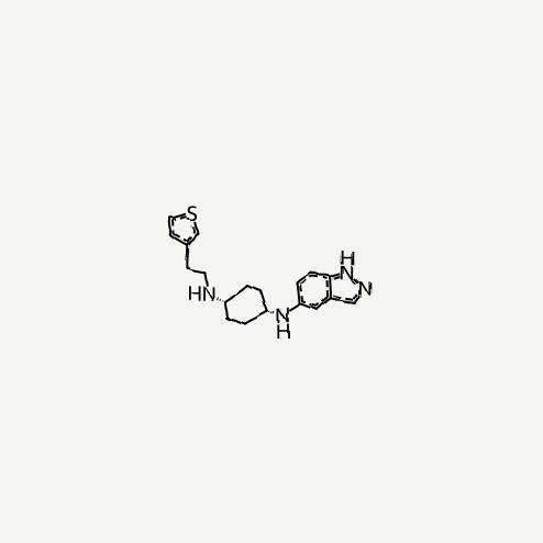 c1cc(CCN[C@H]2CC[C@@H](Nc3ccc4[nH]ncc4c3)CC2)cs1